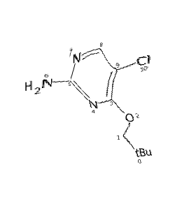 CC(C)(C)COc1nc(N)ncc1Cl